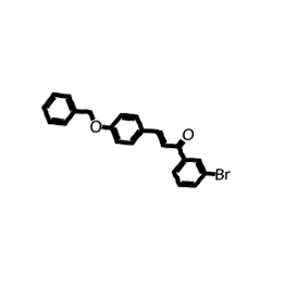 O=C(/C=C/c1ccc(OCc2ccccc2)cc1)c1cccc(Br)c1